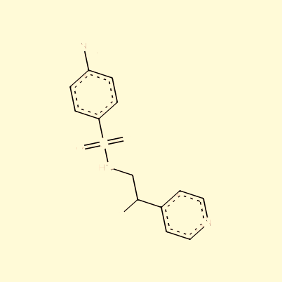 O=[N+]([O-])c1ccc(S(=O)(=O)NCC(O)c2ccncc2)cc1